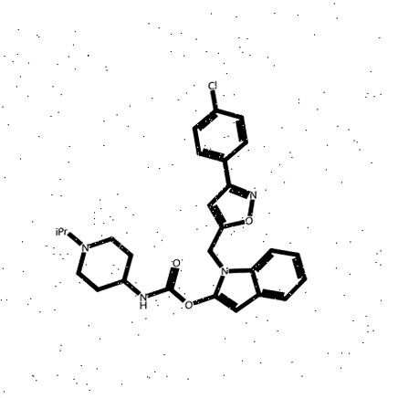 CC(C)N1CCC(NC(=O)Oc2cc3ccccc3n2Cc2cc(-c3ccc(Cl)cc3)no2)CC1